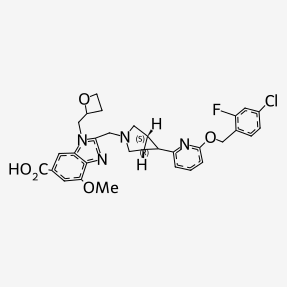 COc1cc(C(=O)O)cc2c1nc(CN1C[C@@H]3C(c4cccc(OCc5ccc(Cl)cc5F)n4)[C@@H]3C1)n2CC1CCO1